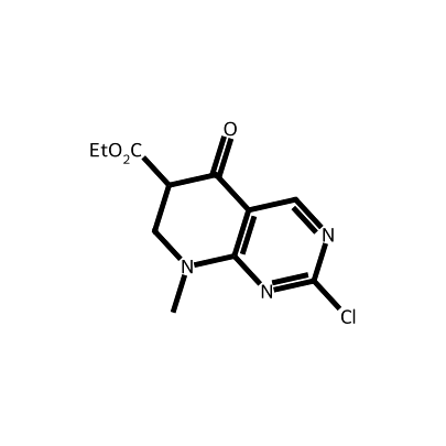 CCOC(=O)C1CN(C)c2nc(Cl)ncc2C1=O